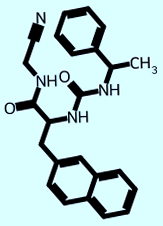 CC(NC(=O)NC(Cc1ccc2ccccc2c1)C(=O)NCC#N)c1ccccc1